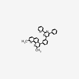 Cc1ccc2ccc3c(-c4cccc(-c5cc(-c6ccccc6)nc(-c6ccccn6)n5)c4)cc(C)nc3c2n1